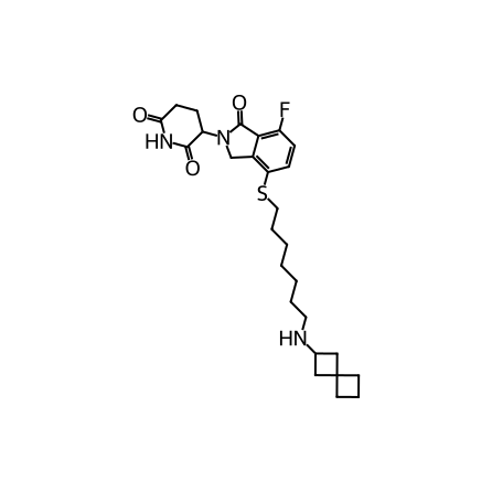 O=C1CCC(N2Cc3c(SCCCCCCCNC4CC5(CCC5)C4)ccc(F)c3C2=O)C(=O)N1